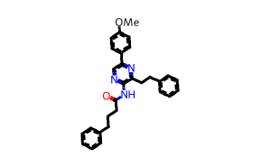 COc1ccc(-c2cnc(NC(=O)CCCc3ccccc3)c(CCc3ccccc3)n2)cc1